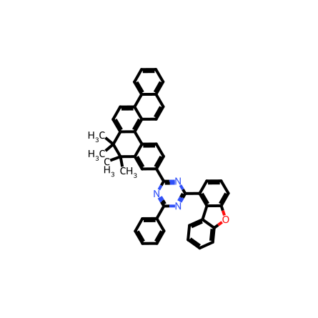 CC1(C)c2cc(-c3nc(-c4ccccc4)nc(-c4cccc5oc6ccccc6c45)n3)ccc2-c2c(ccc3c2ccc2ccccc23)C1(C)C